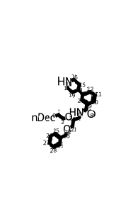 CCCCCCCCCCCCOC(CNC(=O)c1cccc(C2CCNCC2)c1)COCc1ccccc1